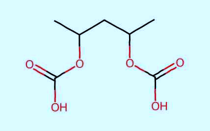 CC(CC(C)OC(=O)O)OC(=O)O